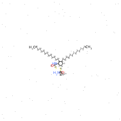 CCCCCCCCCCCCCCc1cccc(NC([O-])=S)c1CCCCCCCCCCCCCC.NC([O-])=S.[Zn+2]